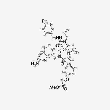 C=CCN(C(=O)NCc1ccc(F)cc1)N1CC(=O)N2[C@@H](Cc3ccc(OCC(=O)OC)cc3)C(=O)N(Cc3cccc4sc(N)nc34)C[C@@H]21